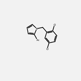 CC(=O)c1cccn1Cc1cc(Cl)ccc1Cl